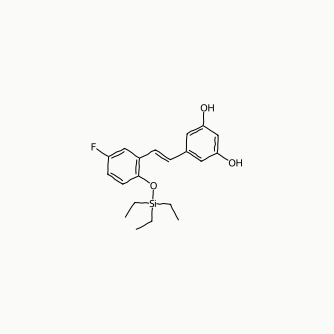 CC[Si](CC)(CC)Oc1ccc(F)cc1C=Cc1cc(O)cc(O)c1